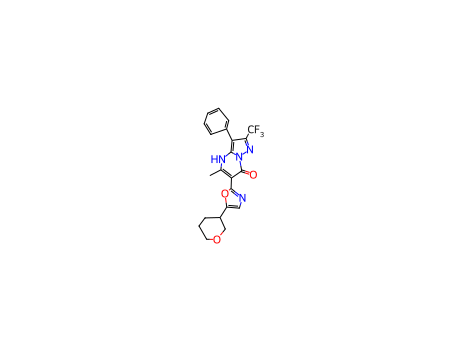 Cc1[nH]c2c(-c3ccccc3)c(C(F)(F)F)nn2c(=O)c1-c1ncc(C2CCCOC2)o1